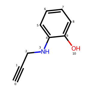 C#CCNc1ccccc1O